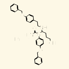 Br.CCCCC(NCCc1ccc(OCc2ccccc2)cc1)N(C(N)=O)c1ccc(OCc2ccccc2)cc1